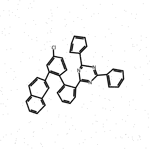 Clc1ccc(-c2ccccc2-c2nc(-c3ccccc3)nc(-c3ccccc3)n2)c(-c2ccc3ccccc3c2)c1